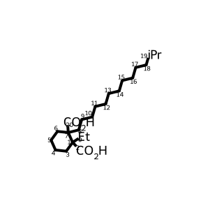 CCC1(C(=O)O)CCCCC1(CCCCCCCCCCCC(C)C)C(=O)O